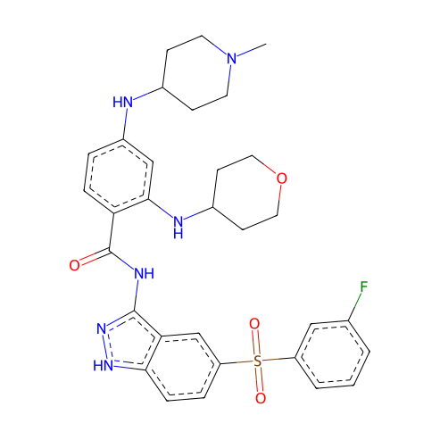 CN1CCC(Nc2ccc(C(=O)Nc3n[nH]c4ccc(S(=O)(=O)c5cccc(F)c5)cc34)c(NC3CCOCC3)c2)CC1